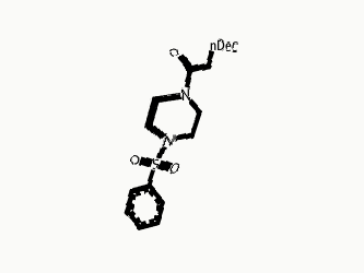 CCCCCCCCCCCC(=O)N1CCN(S(=O)(=O)c2ccccc2)CC1